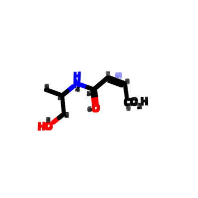 CC(CO)NC(=O)/C=C\C(=O)O